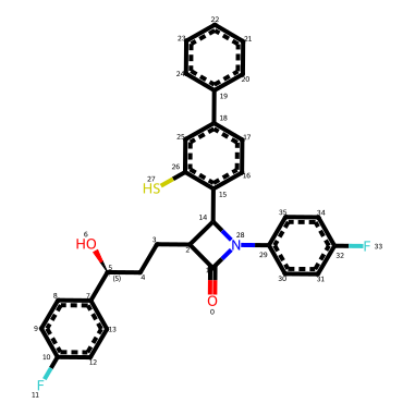 O=C1C(CC[C@H](O)c2ccc(F)cc2)C(c2ccc(-c3ccccc3)cc2S)N1c1ccc(F)cc1